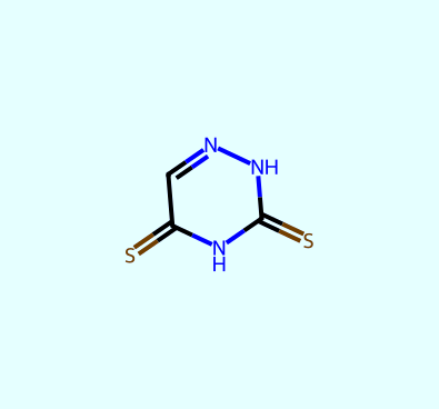 S=c1cn[nH]c(=S)[nH]1